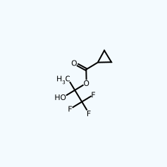 CC(O)(OC(=O)C1CC1)C(F)(F)F